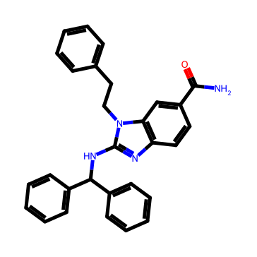 NC(=O)c1ccc2nc(NC(c3ccccc3)c3ccccc3)n(CCc3ccccc3)c2c1